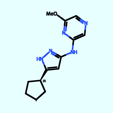 COc1cncc(Nc2cc([C@H]3C[CH]CC3)[nH]n2)n1